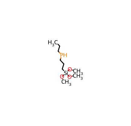 CCCPCCC[Si](OC)(OC)OC